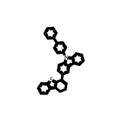 C1=C(c2ccc3c(c2)c2ccccc2n3-c2ccc(-c3ccccc3)cc2)c2sc3ccccc3c2CC1